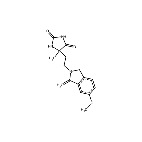 C=C1c2cc(OC)ccc2CN1CCC1(C)NC(=O)NC1=O